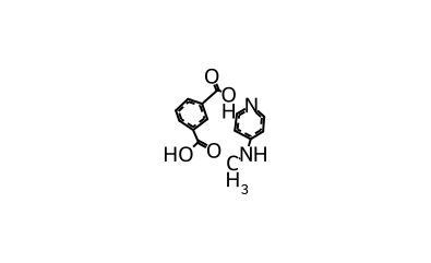 CNc1ccncc1.O=C(O)c1cccc(C(=O)O)c1